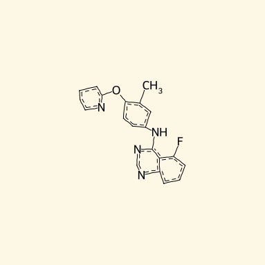 Cc1cc(Nc2ncnc3cccc(F)c23)ccc1Oc1ccccn1